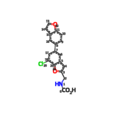 O=C(O)NCc1cc2cc(-c3ccc4occc4c3)cc(Cl)c2o1